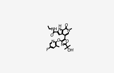 CCNC(=O)c1cc2c(-c3oc(C(C)(C)O)nc3Oc3ncc(F)cc3C)cn(C)c(=O)c2[nH]1